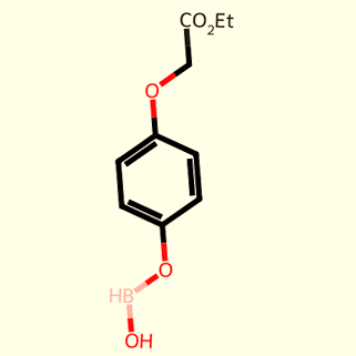 CCOC(=O)COc1ccc(OBO)cc1